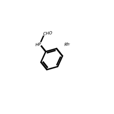 O=CPc1ccccc1.[Rh]